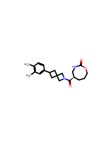 Cc1ccc(C2CC3(C2)CN(C(=O)[C@@H]2CCCOC(=O)NC2)C3)cc1C